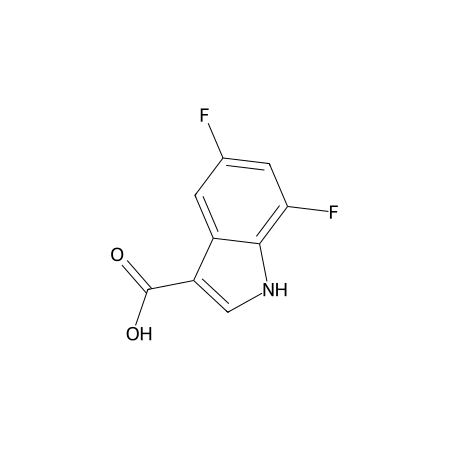 O=C(O)c1c[nH]c2c(F)cc(F)cc12